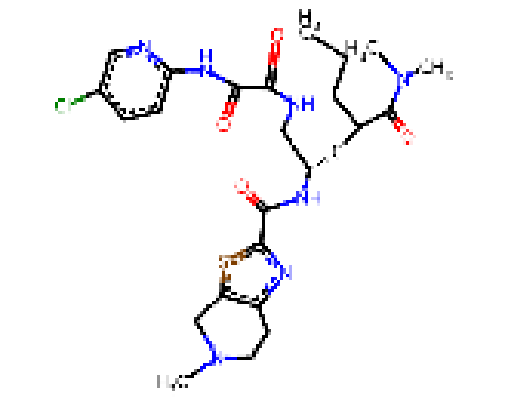 CCCC(C[C@@H](CNC(=O)C(=O)Nc1ccc(Cl)cn1)NC(=O)c1nc2c(s1)CN(C)CC2)C(=O)N(C)C